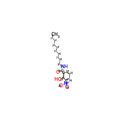 CCCCCCCCCCNC(=O)c1cccc([N+](=O)[O-])c1O